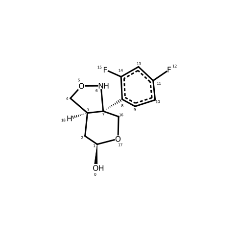 O[C@H]1C[C@H]2CON[C@@]2(c2ccc(F)cc2F)CO1